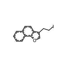 ICCc1coc2c1ccc1ccccc12